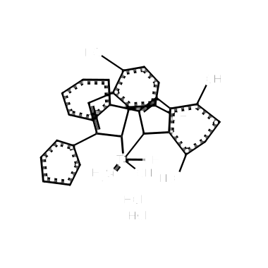 Cc1ccc(C)c2c1C=C(c1ccccc1)[CH]2[Ti]([CH3])([CH3])(=[SiH2])[CH]1C(c2ccccc2)=Cc2c(C)ccc(C)c21.Cl.Cl